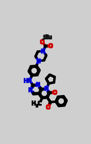 Cc1c(C(=O)c2ccccc2)c(=O)n(C2CCCC2)c2nc(Nc3ccc(N4CCN(C(=O)OC(C)(C)C)CC4)cc3)ncc12